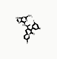 CC(Nc1nc(N)nc2[nH]cnc12)c1cc2ccc(F)cn2c(=O)c1-c1cc(F)cc(F)c1